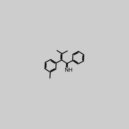 CC(C)=C(C(=N)c1ccccc1)c1cccc(C)c1